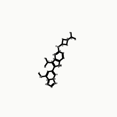 COc1cc(-c2[nH]c3ccc(OC4CN(C(C)C)C4)nc3c2C(C)C)cn2ncnc12